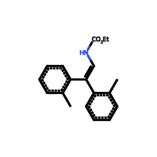 CCOC(=O)NC=C(c1ccccc1C)c1ccccc1C